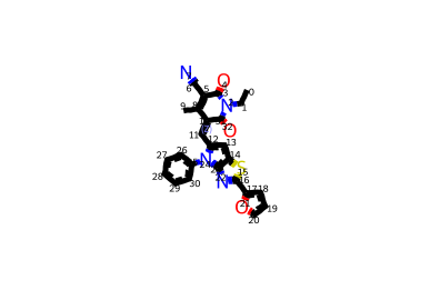 CCN1C(=O)C(C#N)=C(C)/C(=C/c2cc3sc(-c4ccco4)nc3n2-c2ccccc2)C1=O